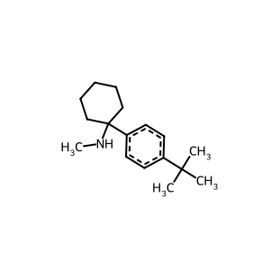 CNC1(c2ccc(C(C)(C)C)cc2)CCCCC1